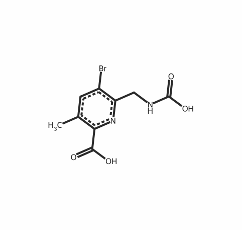 Cc1cc(Br)c(CNC(=O)O)nc1C(=O)O